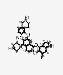 CCN1CCc2c(cccc2Oc2nc3c(Oc4c(Cl)c(F)cc5[nH]ncc45)nccc3c(N3CCNCC3)c2C#N)C1